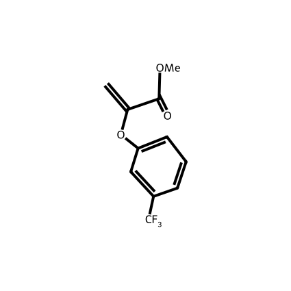 C=C(Oc1cccc(C(F)(F)F)c1)C(=O)OC